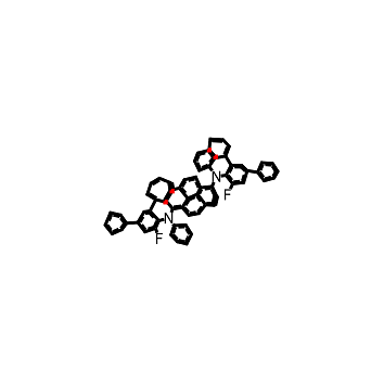 Fc1cc(-c2ccccc2)cc(C2=CC=CC#CC2)c1N(C1=c2ccc3c#cc(N(c4ccccc4)c4c(F)cc(-c5ccccc5)cc4C4=CC=CCC4)c4ccc(c2c34)CC1)c1ccccc1